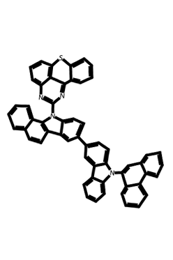 c1ccc2c(c1)Sc1cccc3nc(-n4c5ccc(-c6ccc7c(c6)c6ccccc6n7-c6cc7ccccc7c7ccccc67)cc5c5ccc6ccccc6c54)nc-2c13